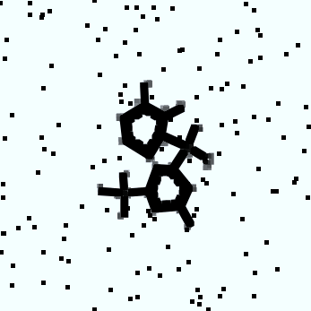 Cc1cc([Si](C)(C)C)cc([Si](C)(Cl)c2cccc(C)c2C)c1